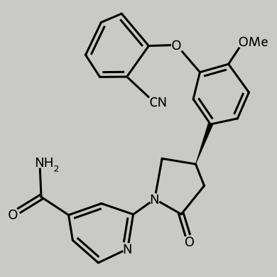 COc1ccc([C@H]2CC(=O)N(c3cc(C(N)=O)ccn3)C2)cc1Oc1ccccc1C#N